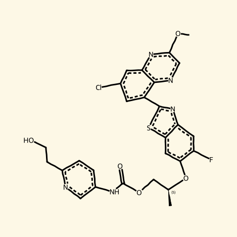 COc1cnc2c(-c3nc4cc(F)c(O[C@@H](C)COC(=O)Nc5ccc(CCO)nc5)cc4s3)cc(Cl)cc2n1